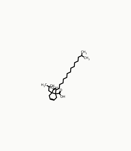 CC(C)CCCCCCCCCCCCCC1(C(=O)O)CC=CCC1(CC(C)C)C(=O)O